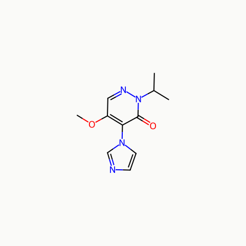 COc1cnn(C(C)C)c(=O)c1-n1ccnc1